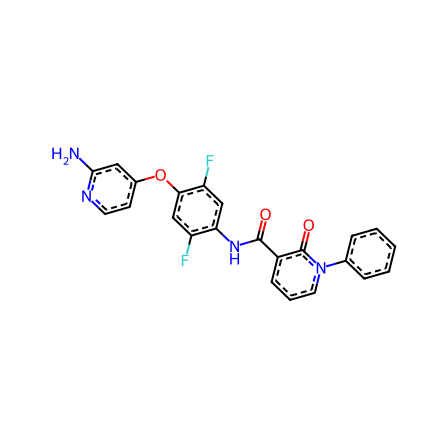 Nc1cc(Oc2cc(F)c(NC(=O)c3cccn(-c4ccccc4)c3=O)cc2F)ccn1